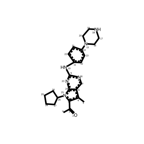 CC(=O)c1c(C)c2cnc(Nc3ccc(N4CCNCC4)cc3)nc2n1C1CCCC1